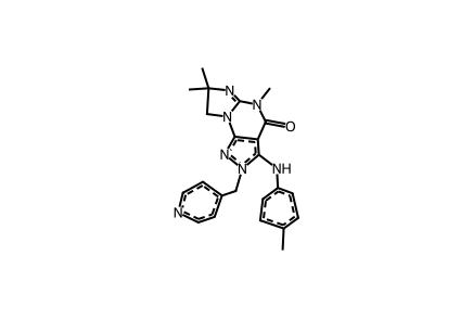 Cc1ccc(Nc2c3c(nn2Cc2ccncc2)N2CC(C)(C)N=C2N(C)C3=O)cc1